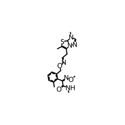 CNC(=O)C(=NOC)c1c(C)cccc1CON=CCC1=C(C)SC2N(C)C=NN12